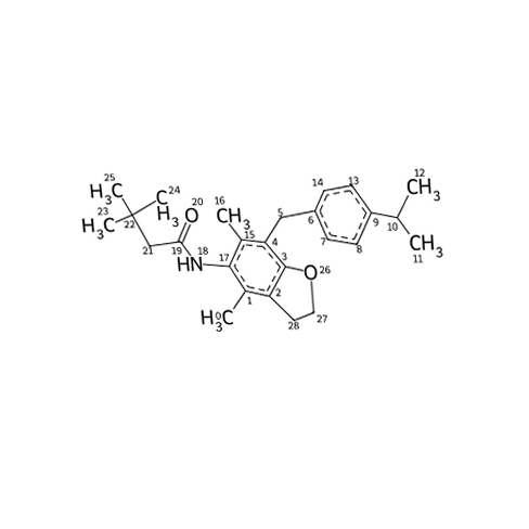 Cc1c2c(c(Cc3ccc(C(C)C)cc3)c(C)c1NC(=O)CC(C)(C)C)OCC2